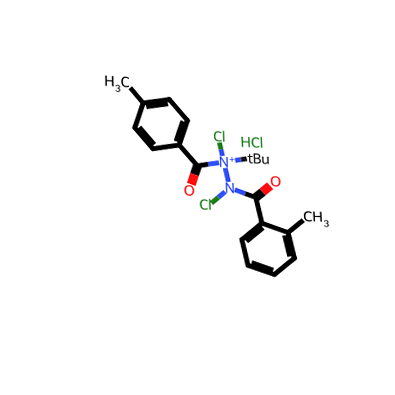 Cc1ccc(C(=O)[N+](Cl)(N(Cl)C(=O)c2ccccc2C)C(C)(C)C)cc1.Cl